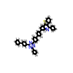 c1ccc(-c2ccc(-c3nc(-c4ccccc4)nc(-c4ccc(-c5ccc(-c6ccc7c(c6)nc(-c6ccccc6)c6c8ccccc8sc76)cc5)cc4)n3)cc2)cc1